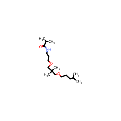 CC(C)CCCOCC(C)(C)COCCCNC(=O)C(C)C